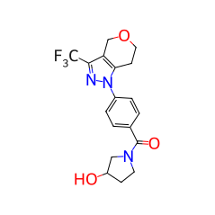 O=C(c1ccc(-n2nc(C(F)(F)F)c3c2CCOC3)cc1)N1CCC(O)C1